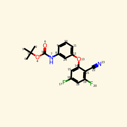 CC(C)(C)OC(=O)Nc1cccc(Oc2cc(F)cc(F)c2C#N)c1